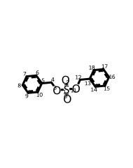 O=S(=O)(OCc1ccccc1)OCc1ccccc1